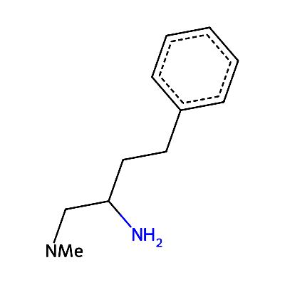 CNCC(N)CCc1ccccc1